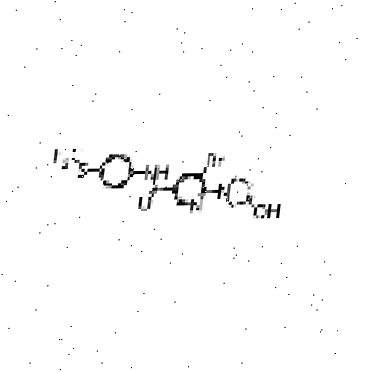 O=C(Nc1ccc(SC(F)(F)F)cc1)c1cnc(N2CC[C@H](O)C2)c(Br)c1